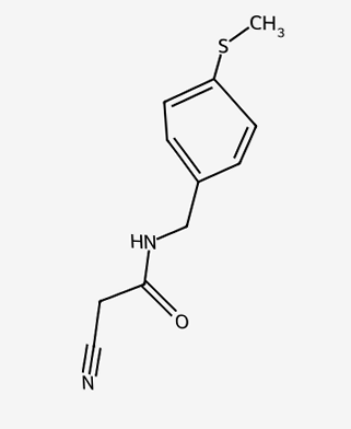 CSc1ccc(CNC(=O)CC#N)cc1